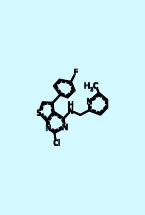 Cc1cccc(CNc2nc(Cl)nc3scc(-c4ccc(F)cc4)c23)n1